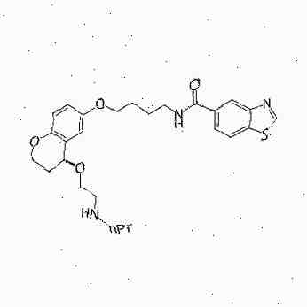 CCCNCCO[C@H]1CCOc2ccc(OCCCCNC(=O)c3ccc4scnc4c3)cc21